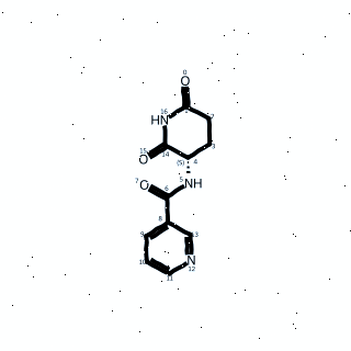 O=C1CC[C@H](NC(=O)c2cccnc2)C(=O)N1